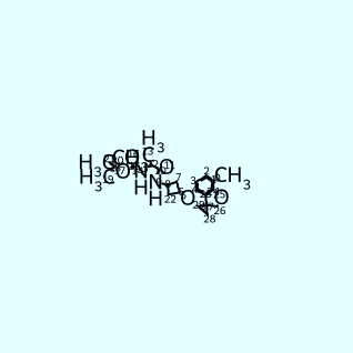 Cc1ccc(OC2CC(NC(=O)C(C)NC(=O)OC(C)(C)C)C2)c2c1OCC21CC1